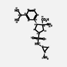 N[C@H]1C[C@H]1NS(=O)(=O)N1C[C@H](c2cccc(B(O)O)c2)[C@](N)(C(=O)O)C1